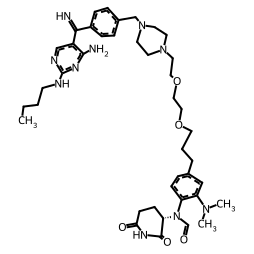 CCCCNc1ncc(C(=N)c2ccc(CN3CCN(CCOCCOCCCc4ccc(N(C=O)[C@H]5CCC(=O)NC5=O)c(N(C)C)c4)CC3)cc2)c(N)n1